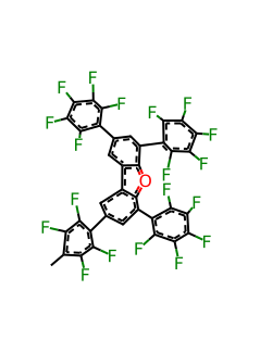 Cc1c(F)c(F)c(-c2cc(-c3c(F)c(F)c(F)c(F)c3F)c3oc4c(-c5c(F)c(F)c(F)c(F)c5F)cc(-c5c(F)c(F)c(F)c(F)c5F)cc4c3c2)c(F)c1F